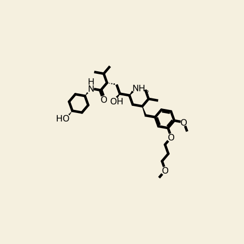 COCCCOc1cc(C[C@@H](C[C@H](N)[C@@H](O)C[C@H](C(=O)N[C@H]2CC[C@@H](O)CC2)C(C)C)C(C)C)ccc1OC